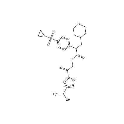 O=C(CCC(=O)C(CC1CCOCC1)c1ccc(S(=O)(=O)C2CC2)cc1)c1ncc(C(O)C(F)(F)F)s1